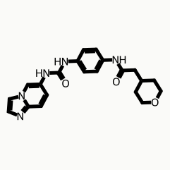 O=C(CC1CCOCC1)Nc1ccc(NC(=O)Nc2ccc3nccn3c2)cc1